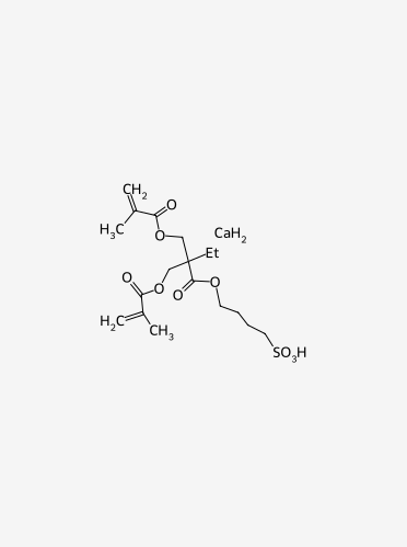 C=C(C)C(=O)OCC(CC)(COC(=O)C(=C)C)C(=O)OCCCCS(=O)(=O)O.[CaH2]